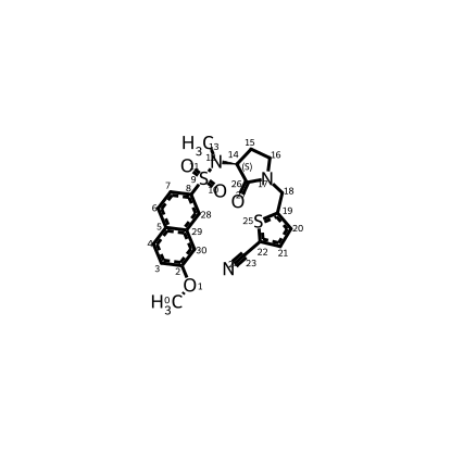 COc1ccc2ccc(S(=O)(=O)N(C)[C@H]3CCN(Cc4ccc(C#N)s4)C3=O)cc2c1